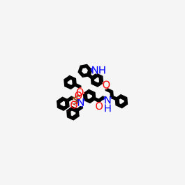 O=C(CNC(CCOc1ccc2c3c([nH]c2c1)CCCC3)c1ccccc1)c1ccc(OCc2ccccc2)c(N(Cc2ccccc2)S(=O)(=O)Cc2ccccc2)c1